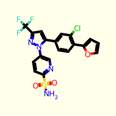 NS(=O)(=O)c1ccc(-n2nc(C(F)(F)F)cc2-c2ccc(-c3ccco3)c(Cl)c2)cn1